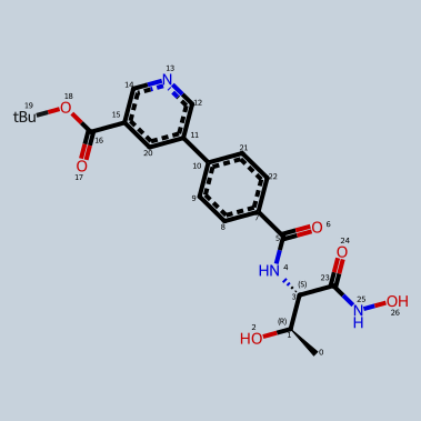 C[C@@H](O)[C@H](NC(=O)c1ccc(-c2cncc(C(=O)OC(C)(C)C)c2)cc1)C(=O)NO